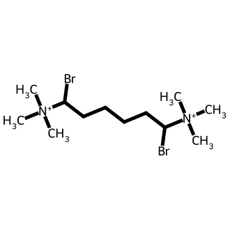 C[N+](C)(C)C(Br)CCCCC(Br)[N+](C)(C)C